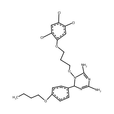 CCCCOc1ccc(C2N=C(N)N=C(N)N2OCCCOc2cc(Cl)c(Cl)cc2Cl)cc1